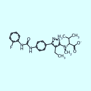 C=[N+](c1snc(-c2ccc(NC(=O)Nc3ccccc3F)cc2)c1CC)C(C(=O)[O-])C(C)C